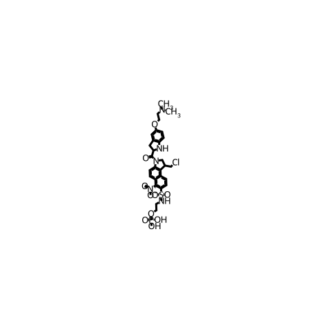 CN(C)CCOc1ccc2c(c1)CC(C(=O)N1CC(CCl)c3c1ccc1c([N+](=O)[O-])c(S(=O)(=O)NCCOP(=O)(O)O)ccc31)N2